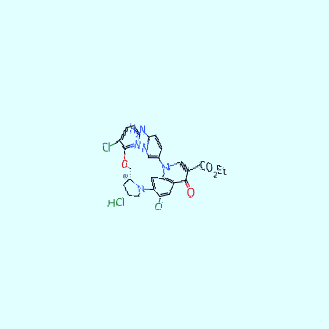 CCOC(=O)c1cn(-c2ccc(N)nc2)c2cc(N3CCC[C@@H]3COc3ncccc3Cl)c(Cl)cc2c1=O.Cl